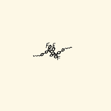 CCCCCCc1ccc(-c2ccc(N(c3cccc(F)c3)c3cc4c5ccc(F)cc5c(N(c5ccc(-c6ccc(CCCCCC)cc6)cc5)c5cccc(F)c5)cc4c4ccccc34)cc2)cc1